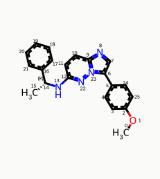 COc1ccc(-c2cnc3ccc(N[C@H](C)c4ccccc4)nn23)cc1